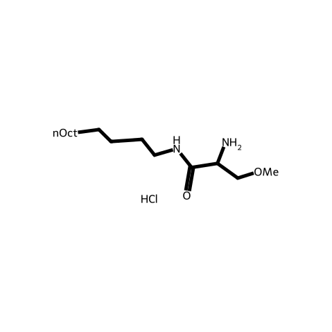 CCCCCCCCCCCCNC(=O)C(N)COC.Cl